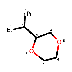 [CH2]CCC(CC)C1COCCO1